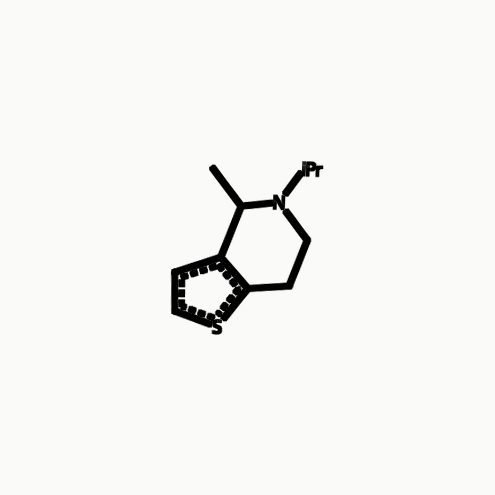 CC(C)N1CCc2sccc2C1C